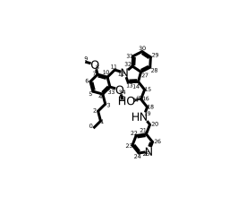 CCCCc1ccc(OC)c(Cn2cc(C[C@H](O)CNCc3cccnc3)c3ccccc32)c1OC